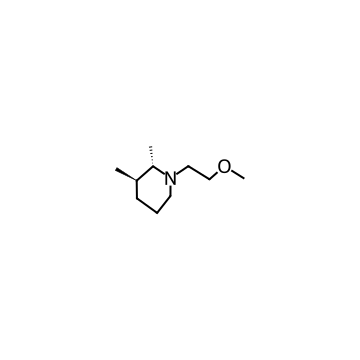 COCCN1CCC[C@@H](C)[C@@H]1C